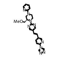 COC[C@H]1CN(c2ccccn2)CCN1c1ncc(/C=C/c2ccc(-n3cnnc3)nc2)cn1